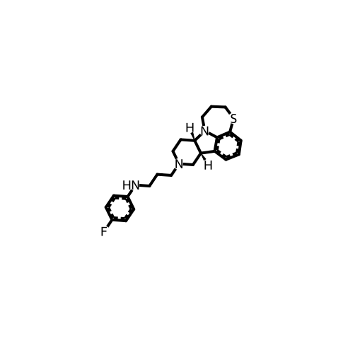 Fc1ccc(NCCCN2CC[C@H]3[C@@H](C2)c2cccc4c2N3CCCS4)cc1